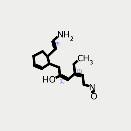 CCC(=C/CN=O)/C=C(/O)CC1C=CCCC1/C=C/N